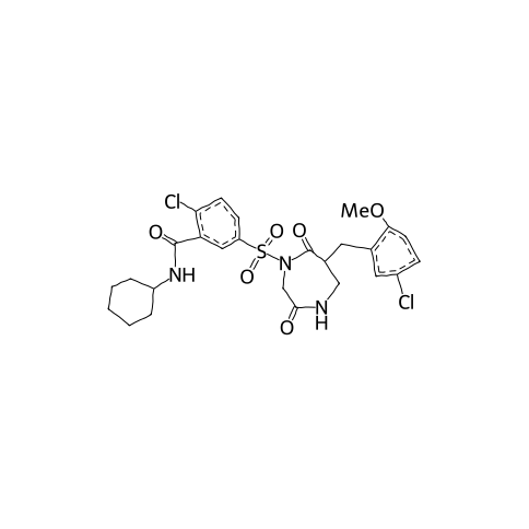 COc1ccc(Cl)cc1CC1CNC(=O)CN(S(=O)(=O)c2ccc(Cl)c(C(=O)NC3CCCCC3)c2)C1=O